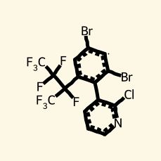 FC(F)(F)C(F)(F)C(F)(c1cc(Br)[c]c(Br)c1-c1cccnc1Cl)C(F)(F)F